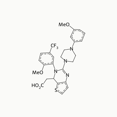 COc1cccc(N2CCN(C3=Nc4ccsc4C(CC(=O)O)N3c3cc(C(F)(F)F)ccc3OC)CC2)c1